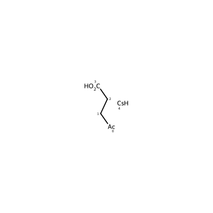 CC(=O)CCC(=O)O.[CsH]